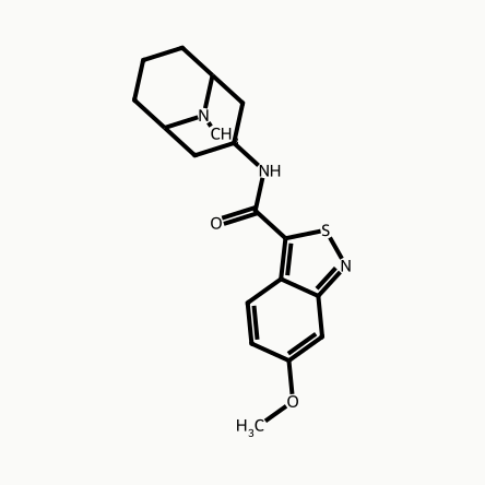 COc1ccc2c(C(=O)NC3CC4CCCC(C3)N4C)snc2c1